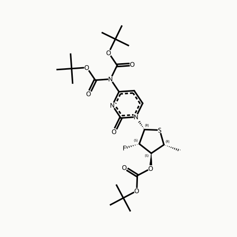 [CH2][C@H]1S[C@@H](n2ccc(N(C(=O)OC(C)(C)C)C(=O)OC(C)(C)C)nc2=O)[C@@H](F)[C@@H]1OC(=O)OC(C)(C)C